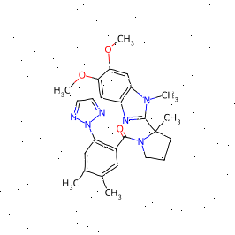 COc1cc2nc(C3(C)CCCN3C(=O)c3cc(C)c(C)cc3-n3nccn3)n(C)c2cc1OC